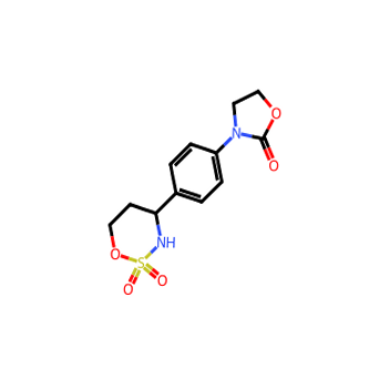 O=C1OCCN1c1ccc(C2CCOS(=O)(=O)N2)cc1